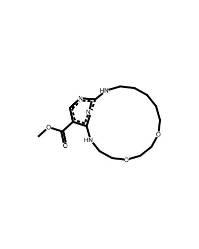 COC(=O)c1cnc2nc1NCCOCCOCCCCCN2